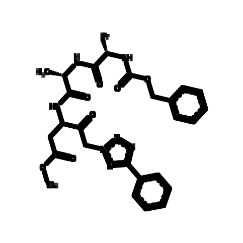 CC(C)[C@H](NC(=O)OCc1ccccc1)C(=O)N[C@@H](C)C(=O)NC(CC(=O)OC(C)(C)C)C(=O)Cn1nnc(-c2ccccc2)n1